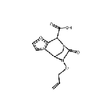 C=CCON1C(=O)N2CC1c1ccoc1C2C(=O)O